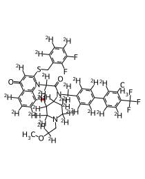 [2H]c1c([2H])c(F)c(F)c(CSc2c([2H])c(=O)c3c([2H])c([2H])c([2H])c([2H])c3n2C([2H])([2H])C(=O)N(C([2H])([2H])c2c([2H])c([2H])c(-c3c([2H])c([2H])c(C(F)(F)F)c(C)c3[2H])c([2H])c2[2H])C2([2H])C([2H])([2H])C([2H])([2H])N(CC([2H])([2H])OC)C([2H])([2H])C2([2H])[2H])c1[2H]